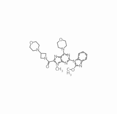 COc1nc2ccccc2n1-c1nc(N2CCOCC2)c2nc(C(=O)N3CC(N4CCOCC4)C3)n(C)c2n1